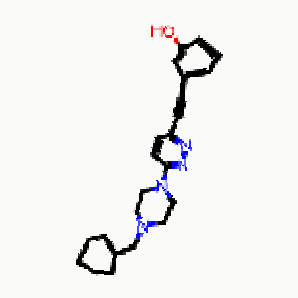 Oc1cccc(C#Cc2ccc(N3CCN(CC4CCCCC4)CC3)nn2)c1